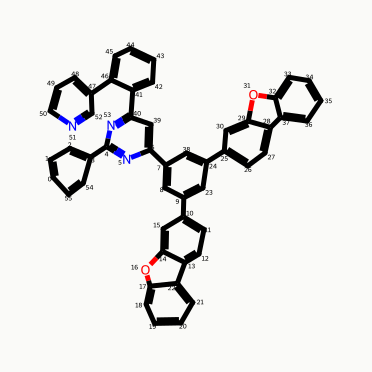 c1ccc(-c2nc(-c3cc(-c4ccc5c(c4)oc4ccccc45)cc(-c4ccc5c(c4)oc4ccccc45)c3)cc(-c3ccccc3-c3cccnc3)n2)cc1